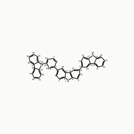 c1cc(-c2ccc3sc4ccc(-c5ccc6sc7ccccc7c6c5)cc4c3c2)nc(-n2c3ccccc3c3ccccc32)c1